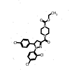 CCOC(=O)N1CCN(C(=O)C2=NN(c3ccc(Cl)cc3Cl)C(c3ccc(Cl)cc3)C2)CC1